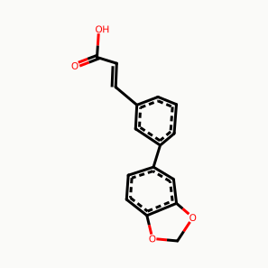 O=C(O)/C=C/c1cccc(-c2ccc3c(c2)OCO3)c1